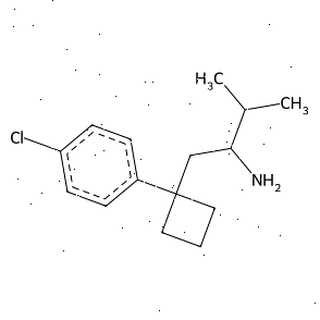 CC(C)C(N)CC1(c2ccc(Cl)cc2)CCC1